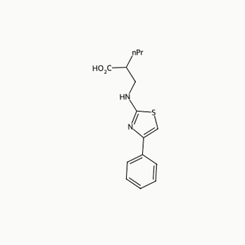 CCCC(CNc1nc(-c2ccccc2)cs1)C(=O)O